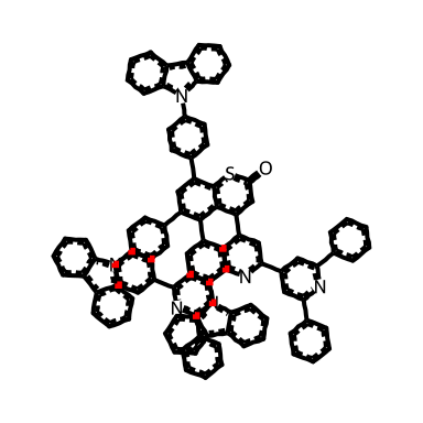 O=c1cc(-c2cc(-c3cc(-c4ccccc4)nc(-c4ccccc4)c3)nc(-c3cc(-c4ccccc4)nc(-c4ccccc4)c3)c2)c2c(-c3ccc(-n4c5ccccc5c5ccccc54)cc3)c(-c3ccc(-n4c5ccccc5c5ccccc54)cc3)cc(-c3ccc(-n4c5ccccc5c5ccccc54)cc3)c2s1